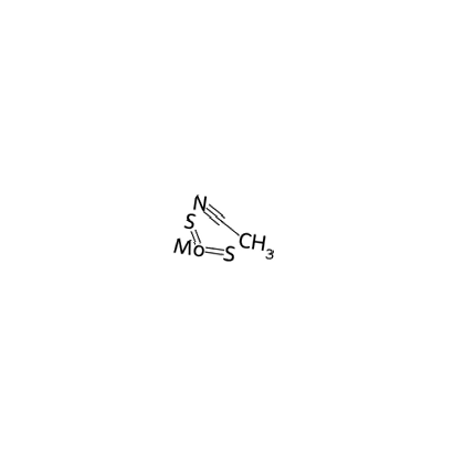 CC#N.[S]=[Mo]=[S]